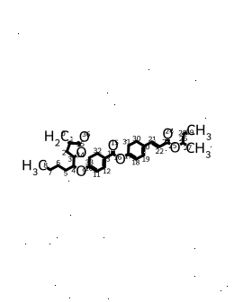 C=C1CC(C(CCCC)OC2=CC=C(C(=O)OC3=CC=C(/C=C/C(=O)OC(C)CC)CC3)CC2)OC1=O